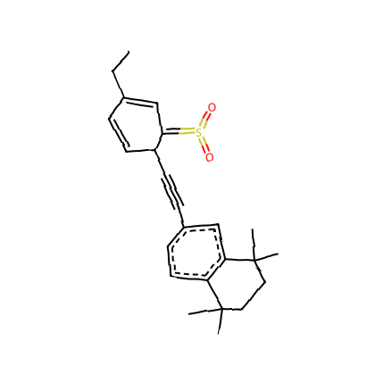 CCC1=CC(=S(=O)=O)C(C#Cc2ccc3c(c2)C(C)(C)CCC3(C)C)C=C1